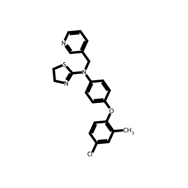 Cc1cc(Cl)ccc1Oc1ccc(N(Cc2cccnc2)C2=NCCS2)cc1